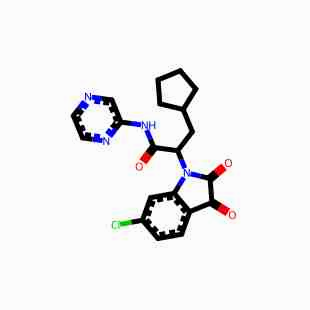 O=C1C(=O)N(C(CC2CCCC2)C(=O)Nc2cnccn2)c2cc(Cl)ccc21